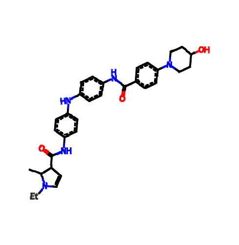 CCN1C=CC(C(=O)Nc2ccc(Nc3ccc(NC(=O)c4ccc(N5CCC(O)CC5)cc4)cc3)cc2)C1C